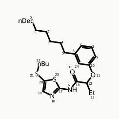 CCCCCCCCCCCCCCCc1cccc(OC(CC)C(=O)Nc2ncc(SCCCC)s2)c1